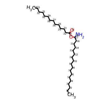 CCCCCCCCCCCCCCCCCC(N)OC(=O)CCCCCCCCCCCCC